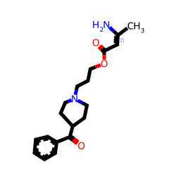 C/C(N)=C/C(=O)OCCCN1CCC(C(=O)c2ccccc2)CC1